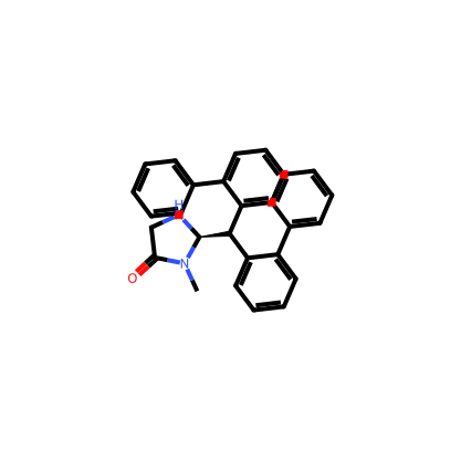 CN1C(=O)CN[C@H]1C(c1ccccc1-c1ccccc1)c1ccccc1-c1ccccc1